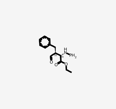 CCOC(=O)[C@@H](NP)[C@@H](C=O)Cc1ccccc1